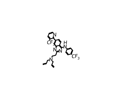 C=CCN(CC=C)CCc1nc(Nc2ccc(C(F)(F)F)cc2)c2ccc(-c3ncccc3C(F)(F)F)cc2n1